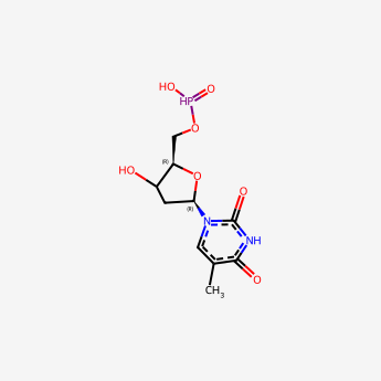 Cc1cn([C@H]2CC(O)[C@@H](CO[PH](=O)O)O2)c(=O)[nH]c1=O